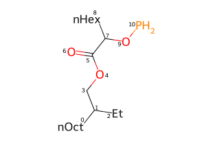 CCCCCCCCC(CC)COC(=O)C(CCCCCC)OP